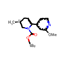 COc1cc(C2=CC[C@H](C)CN2C(=O)OC(C)(C)C)ccn1